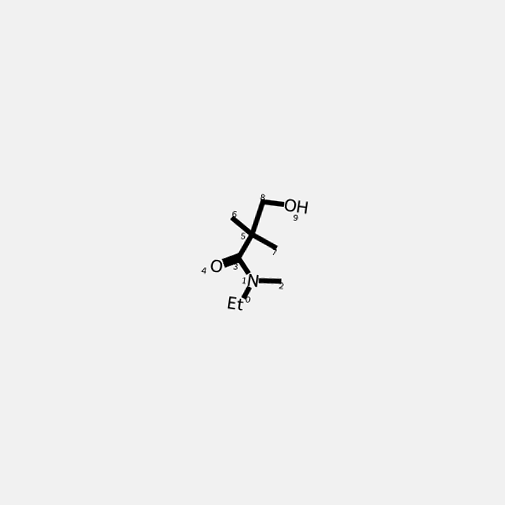 CCN(C)C(=O)C(C)(C)CO